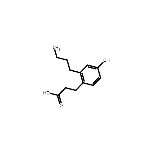 CCCCc1cc(O)ccc1CCC(=O)O